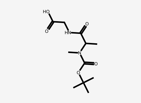 CC(C(=O)NCC(=O)O)N(C)C(=O)OC(C)(C)C